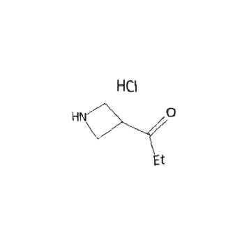 CCC(=O)C1CNC1.Cl